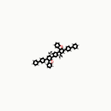 C[Si]1(C)c2cc3c(cc2-c2c1cc(-c1ccc(-c4ccccc4)cc1)c1c2oc2ccccc21)[Si](C)(C)c1cc(-c2ccc(-c4ccccc4)cc2)c2oc4ccccc4c2c1-3